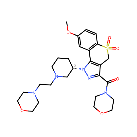 COc1ccc2c(c1)-c1c(c(C(=O)N3CCOCC3)nn1[C@H]1CCCN(CCN3CCOCC3)C1)CS2(=O)=O